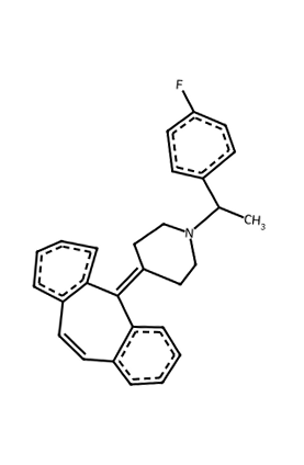 CC(c1ccc(F)cc1)N1CCC(=C2c3ccccc3C=Cc3ccccc32)CC1